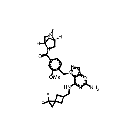 COc1cc(C(=O)N2C[C@@H]3C[C@H]2CN3C)ccc1Cn1ncc2nc(N)nc(NCC3CC4(C3)CC4(F)F)c21